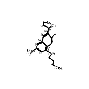 Cc1cc2c(NCCCO)cc(N)nc2cc1-c1ccn[nH]1